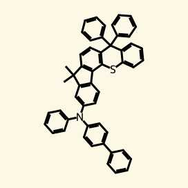 CC1(C)c2cc(N(c3ccccc3)c3ccc(-c4ccccc4)cc3)ccc2-c2c1ccc1c2Sc2ccccc2C1(c1ccccc1)c1ccccc1